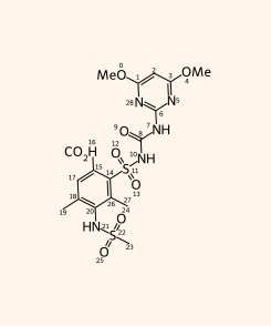 COc1cc(OC)nc(NC(=O)NS(=O)(=O)c2c(C(=O)O)cc(C)c(NS(C)(=O)=O)c2C)n1